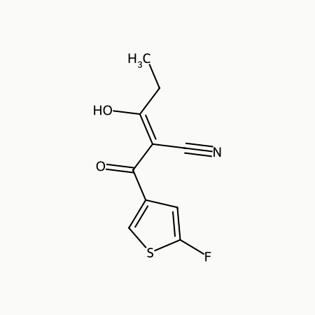 CC/C(O)=C(\C#N)C(=O)c1csc(F)c1